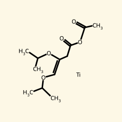 CC(=O)OC(=O)CC(=COC(C)C)OC(C)C.[Ti]